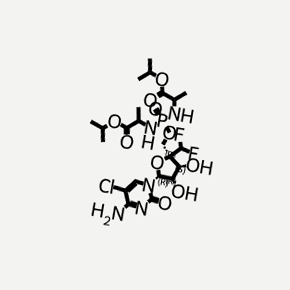 CC(C)OC(=O)C(C)NP(=O)(NC(C)C(=O)OC(C)C)OC[C@@]1(C(F)F)O[C@@H](n2cc(Cl)c(N)nc2=O)[C@H](O)[C@@H]1O